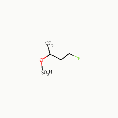 O=S(=O)(O)OC(CCF)C(F)(F)F